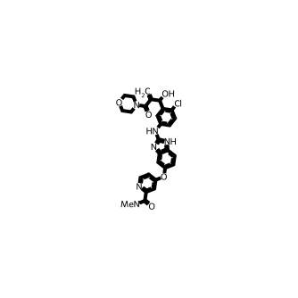 C=C(C(=O)N1CCOCC1)C(O)c1cc(Nc2nc3cc(Oc4ccnc(C(=O)NC)c4)ccc3[nH]2)ccc1Cl